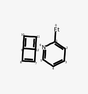 CCc1ccccn1.c1cc2ccc1-2